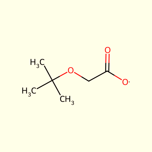 CC(C)(C)OCC([O])=O